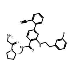 N#Cc1ccccc1-c1ccc(C(=O)NC[C@@H]2CCCN2C(=O)CN)c(NCCc2cccc(F)c2)n1